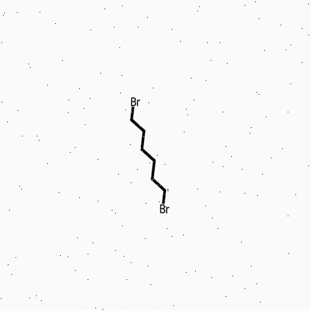 Br[CH]CCCCCBr